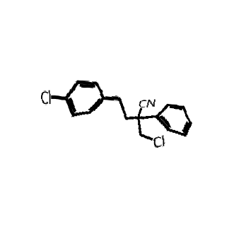 N#CC(CCl)(CCc1ccc(Cl)cc1)c1ccccc1